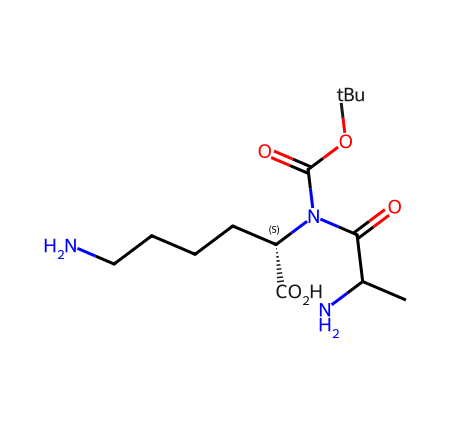 CC(N)C(=O)N(C(=O)OC(C)(C)C)[C@@H](CCCCN)C(=O)O